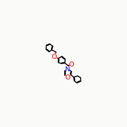 O=C(c1ccc(OCc2ccccc2)cc1)N1C=COC(C2=CC=CCC2)=C1